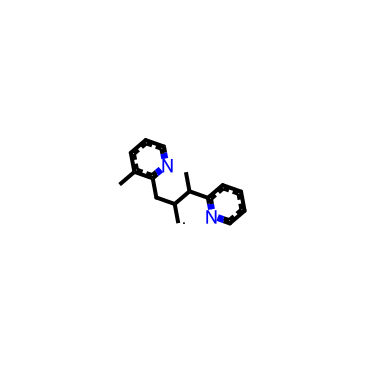 [CH2]C(Cc1ncccc1C)C(C)c1ccccn1